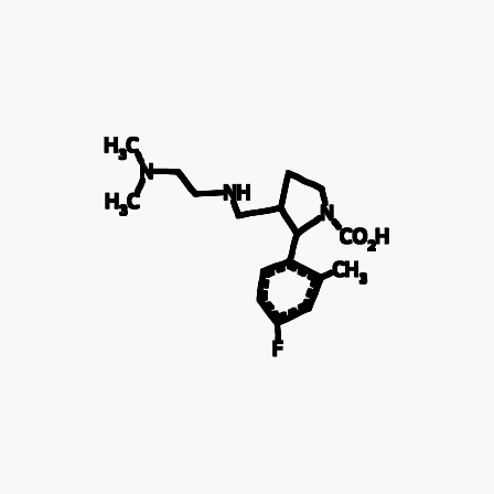 Cc1cc(F)ccc1C1C(CNCCN(C)C)CCN1C(=O)O